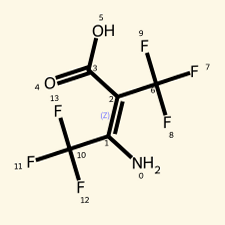 N/C(=C(/C(=O)O)C(F)(F)F)C(F)(F)F